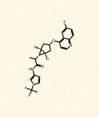 CC(C(=O)Nc1ccn(C(F)(F)F)c1)[C@H]1[C@@H]2C[C@@H](Oc3ccnc4ccc(F)cc34)C[C@@H]21